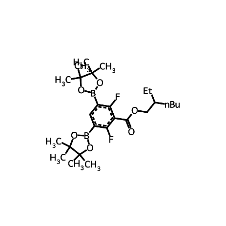 CCCCC(CC)COC(=O)c1c(F)c(B2OC(C)(C)C(C)(C)O2)cc(B2OC(C)(C)C(C)(C)O2)c1F